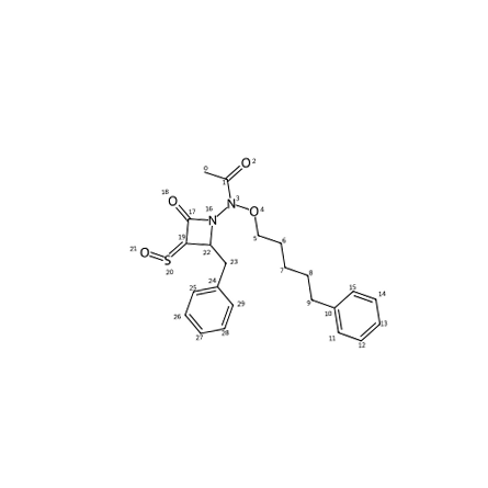 CC(=O)N(OCCCCCc1ccccc1)N1C(=O)C(=S=O)C1Cc1ccccc1